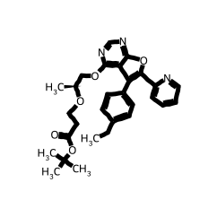 CCc1ccc(-c2c(-c3ccccn3)oc3ncnc(OC[C@H](C)OCCC(=O)OC(C)(C)C)c23)cc1